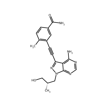 Cc1ccc(C(N)=O)cc1C#Cc1nn(C[C@H](C)CO)c2ncnc(N)c12